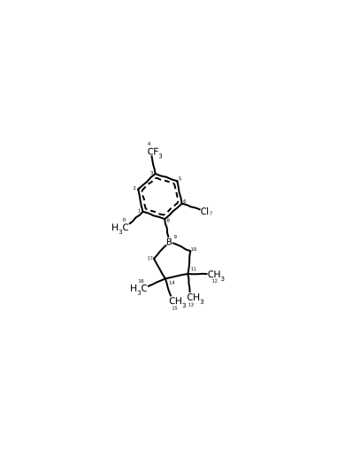 Cc1cc(C(F)(F)F)cc(Cl)c1B1CC(C)(C)C(C)(C)C1